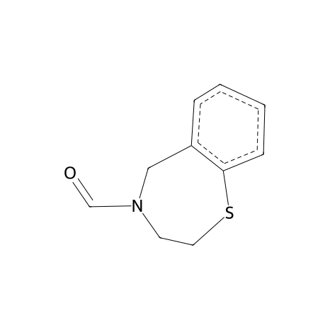 O=CN1CCSc2ccccc2C1